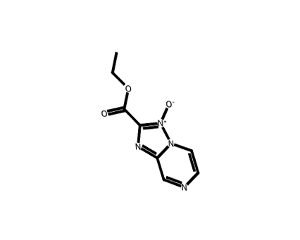 CCOC(=O)c1nc2cnccn2[n+]1[O-]